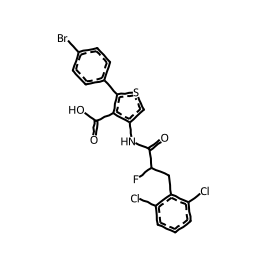 O=C(O)c1c(NC(=O)C(F)Cc2c(Cl)cccc2Cl)csc1-c1ccc(Br)cc1